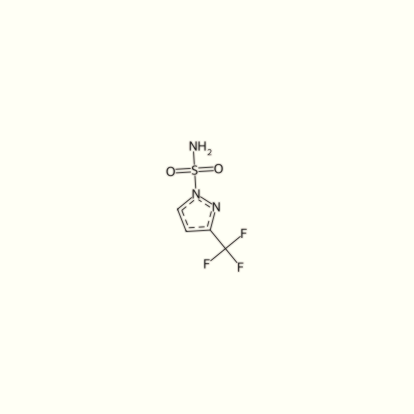 NS(=O)(=O)n1ccc(C(F)(F)F)n1